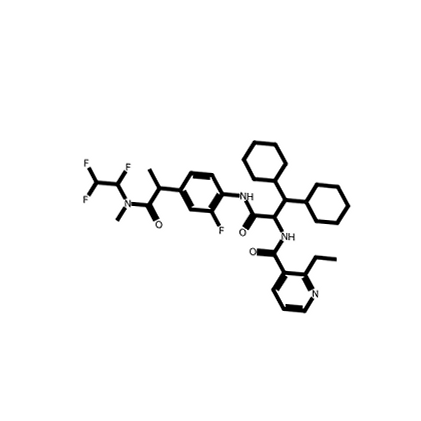 CCc1ncccc1C(=O)NC(C(=O)Nc1ccc(C(C)C(=O)N(C)C(F)C(F)F)cc1F)C(C1CCCCC1)C1CCCCC1